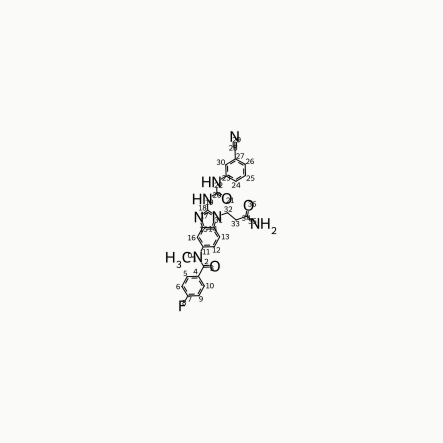 CN(C(=O)c1ccc(F)cc1)c1ccc2c(c1)nc(NC(=O)Nc1cccc(C#N)c1)n2CCC(N)=O